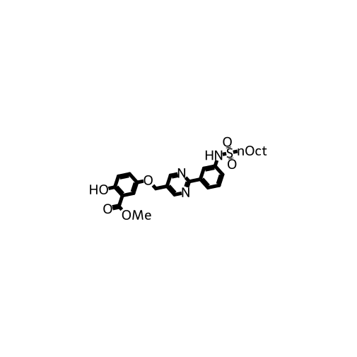 CCCCCCCCS(=O)(=O)Nc1cccc(-c2ncc(COc3ccc(O)c(C(=O)OC)c3)cn2)c1